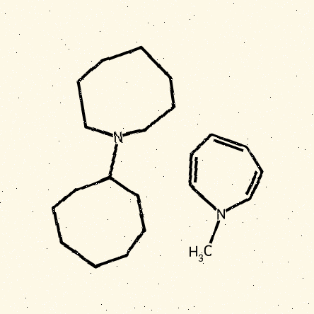 C1CCCC(N2CCCCCCC2)CCC1.CN1C=CC=CC=C1